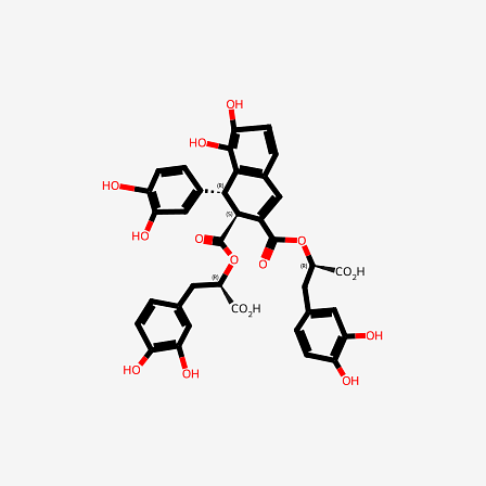 O=C(O[C@H](Cc1ccc(O)c(O)c1)C(=O)O)C1=Cc2ccc(O)c(O)c2[C@@H](c2ccc(O)c(O)c2)[C@@H]1C(=O)O[C@H](Cc1ccc(O)c(O)c1)C(=O)O